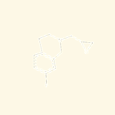 Fc1ccc2c(c1)CN(CC1CO1)CC2